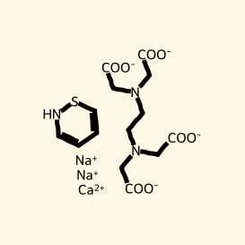 C1=CNSC=C1.O=C([O-])CN(CCN(CC(=O)[O-])CC(=O)[O-])CC(=O)[O-].[Ca+2].[Na+].[Na+]